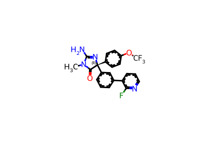 CN1C(=O)[C@@](c2ccc(OC(F)(F)F)cc2)(c2cccc(-c3cccnc3F)c2)N=C1N